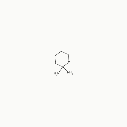 NC1(N)CCCCO1